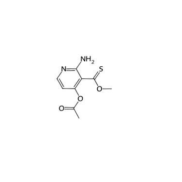 COC(=S)c1c(OC(C)=O)ccnc1N